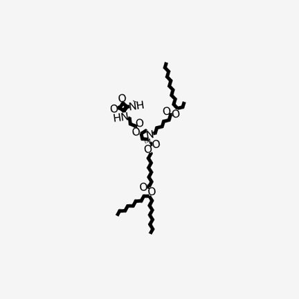 CCCCCCCCCCC(CC)OC(=O)CCCCCN1CC(OC(=O)CCNc2c(NC)c(=O)c2=O)C[C@H]1C(=O)OCCCCCCCC(=O)OC(CCCCCCCC)CCCCCCCC